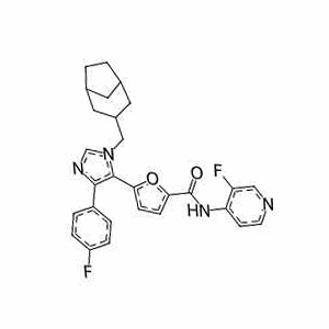 O=C(Nc1ccncc1F)c1ccc(-c2c(-c3ccc(F)cc3)ncn2CC2CC3CCC(C3)C2)o1